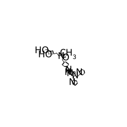 CN(CCCC[C@H](O)CO)C(=O)Cc1ccc(-n2cc(CN(Cc3ccccn3)Cc3ccccn3)nn2)cc1